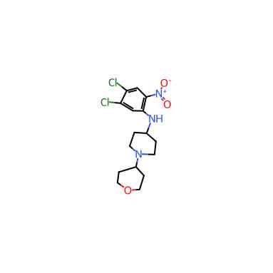 O=[N+]([O-])c1cc(Cl)c(Cl)cc1NC1CCN(C2CCOCC2)CC1